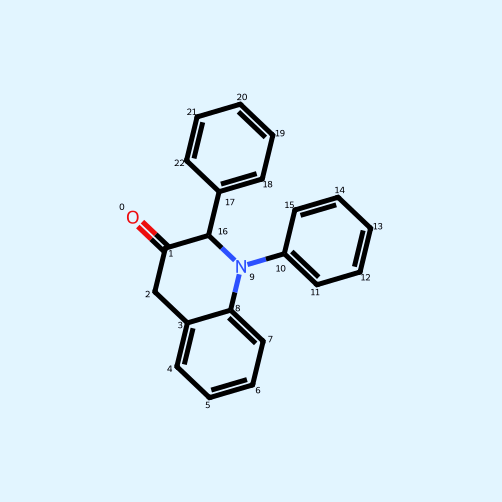 O=C1Cc2ccccc2N(c2ccccc2)C1c1ccccc1